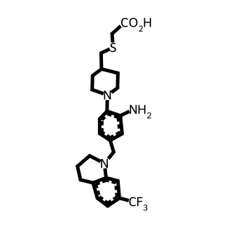 Nc1cc(CN2CCCc3ccc(C(F)(F)F)cc32)ccc1N1CCC(CSCC(=O)O)CC1